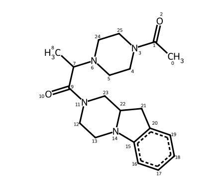 CC(=O)N1CCN(C(C)C(=O)N2CCN3c4ccccc4CC3C2)CC1